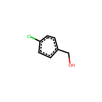 OCc1c[c]c(Cl)cc1